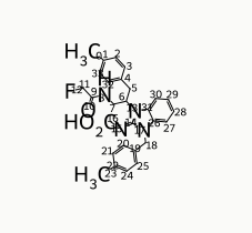 Cc1ccc(CC(CNC(=O)CF)n2c(=NC(=O)O)n(Cc3ccc(C)cc3)c3ccccc32)cc1